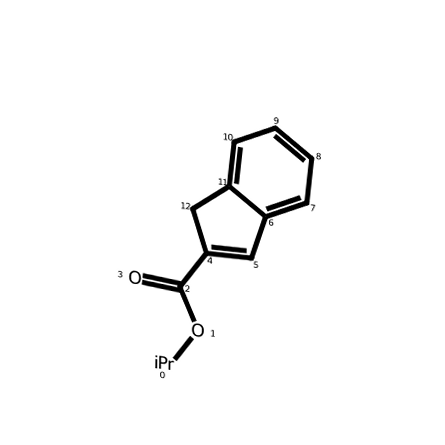 CC(C)OC(=O)C1=Cc2ccccc2C1